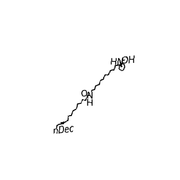 CCCCCCCCCCCC#CCCCCCCCCCC(=O)NCCCCCCCCCCCC(=O)NO